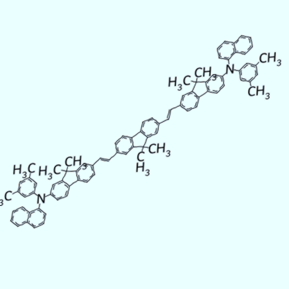 Cc1cc(C)cc(N(c2ccc3c(c2)C(C)(C)c2cc(/C=C/c4ccc5c(c4)C(C)(C)c4cc(/C=C/c6ccc7c(c6)C(C)(C)c6cc(N(c8cc(C)cc(C)c8)c8cccc9ccccc89)ccc6-7)ccc4-5)ccc2-3)c2cccc3ccccc23)c1